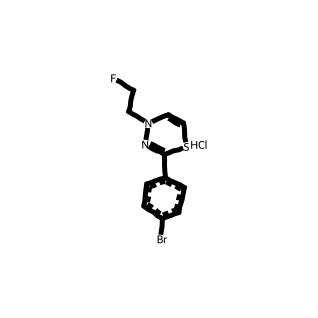 Cl.FCCN1C=CSC(c2ccc(Br)cc2)=N1